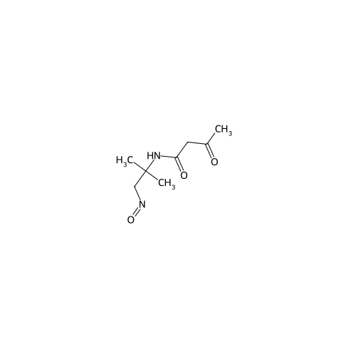 CC(=O)CC(=O)NC(C)(C)CN=O